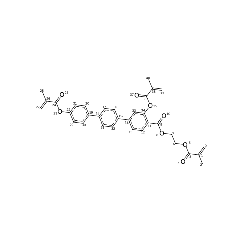 C=C(C)C(=O)OCCOC(=O)c1ccc(-c2ccc(-c3ccc(OC(=O)C(=C)C)cc3)cc2)cc1OC(=O)C(=C)C